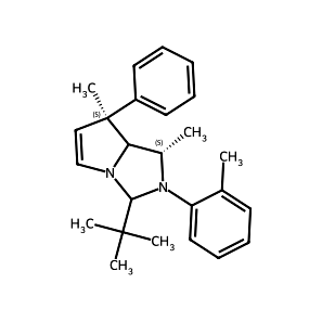 Cc1ccccc1N1C(C(C)(C)C)N2C=C[C@@](C)(c3ccccc3)C2[C@@H]1C